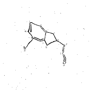 O=C=NC1Cc2cccc(Br)c2C1